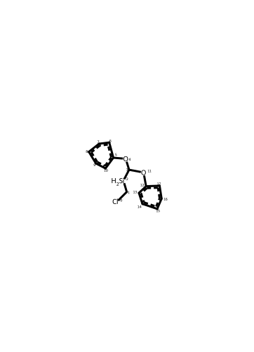 ClC[SiH2]C(Oc1ccccc1)Oc1ccccc1